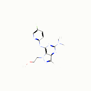 CCOCCn1nc(C(=O)O)c2nc(N(C)C(C)C)nc(Nc3ccc(F)cn3)c21